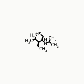 C=C(C)NC(=C/S)/C(=C\C)C(=C)N